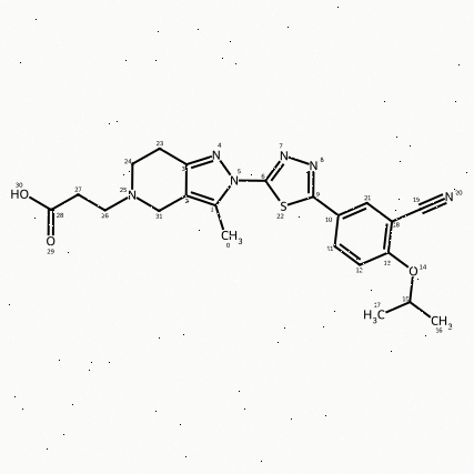 Cc1c2c(nn1-c1nnc(-c3ccc(OC(C)C)c(C#N)c3)s1)CCN(CCC(=O)O)C2